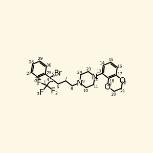 FC(F)(F)S(Br)(CCCN1CCN(c2cccc3c2OCCO3)CC1)c1ccccc1